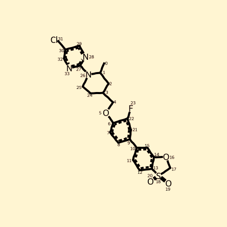 CC1CC(COc2ccc(-c3ccc4c(c3)OCS4(=O)=O)cc2F)CCN1c1ncc(Cl)cn1